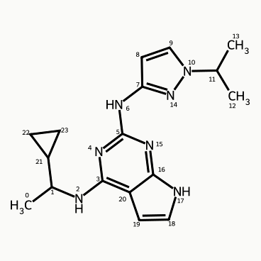 CC(Nc1nc(Nc2ccn(C(C)C)n2)nc2[nH]ccc12)C1CC1